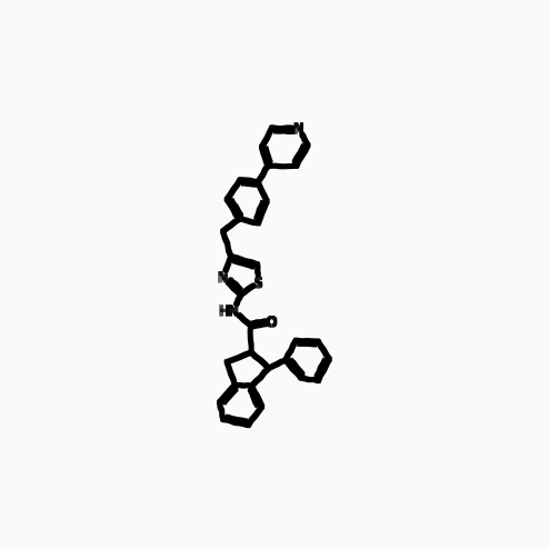 O=C(Nc1nc(Cc2ccc(-c3ccncc3)cc2)cs1)C1Cc2ccccc2C1c1ccccc1